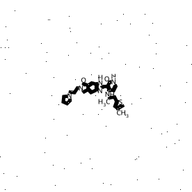 Cc1csc(CC(C)Nc2cc[nH]c(=O)c2-c2nc3cc4c(cc3[nH]2)C(=O)N(CCCN2CCCC2)C4)c1